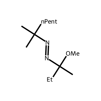 CCCCCC(C)(C)N=NC(C)(CC)OC